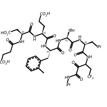 Cc1ccccc1C[C@H](NC(=O)[C@H](CCC(=O)O)NC(=O)[C@H](CC(=O)O)NC(=O)CCC(=O)O)C(=O)N[C@H](C(=O)N[C@@H](CC(C)C)C(=O)NC(CC(F)(F)F)C(=O)C(=O)NC(C)C)C(C)(C)C